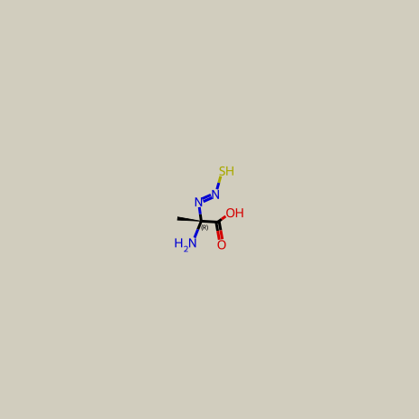 C[C@@](N)(N=NS)C(=O)O